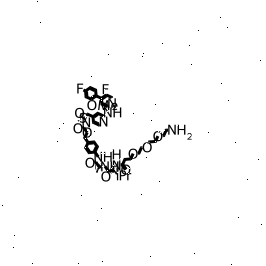 COc1cc(F)ccc1-c1cc(Nc2cc(C[S@](C)(=O)=NC(=O)OCc3ccc(NC(=O)[C@H](C)NC(=O)[C@@H](NC(=O)CCOCCOCCOCCN)C(C)C)cc3)ccn2)ncc1F